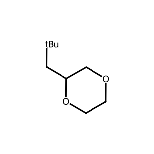 CC(C)(C)CC1COCCO1